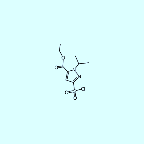 CCOC(=O)c1cc(S(=O)(=O)Cl)nn1C(C)C